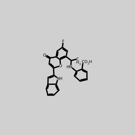 CC(Nc1ccccc1C(=O)O)c1cc(F)cc2c(=O)cc(-c3cc4ccccc4[nH]3)oc12